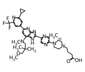 COCC(C)(C)CN(C)c1cc(-c2cc(C3CC3)nc(C(F)(F)F)c2)nc2nc(-c3cnc(N4CCN(CCCC(=O)O)C[C@H]4C)cn3)[nH]c12